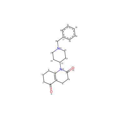 O=C1CCCC2=C1CCC(=O)N2C1CCN(Cc2ccccc2)CC1